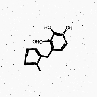 Cc1ccccc1Cc1ccc(O)c(O)c1C=O